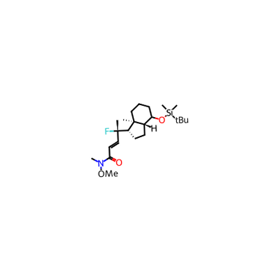 CON(C)C(=O)/C=C/[C@](C)(F)[C@H]1CC[C@H]2C(O[Si](C)(C)C(C)(C)C)CCC[C@@]21C